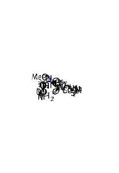 CO/N=C(/C(=O)NC1C(=O)N2C(C(=O)O)=C(CSc3nncs3)CS[C@H]12)c1cccc(OC(N)=O)c1